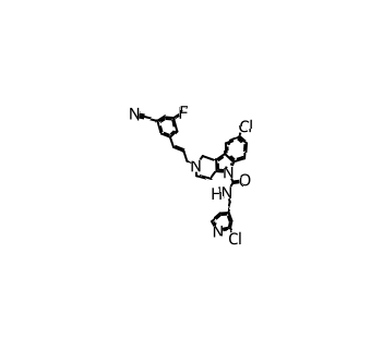 N#Cc1cc(F)cc(/C=C/CN2CCc3c(c4cc(Cl)ccc4n3C(=O)NCc3ccnc(Cl)c3)C2)c1